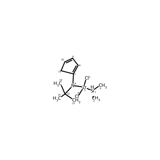 C[SiH](C)[Zr]([Cl])([Cl])[N](C1=CC=CC1)C(C)(C)C